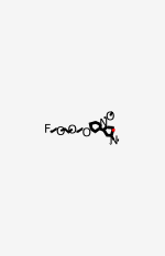 COCn1c2ccc(OCCOCCOCCF)cc2c2cc(N(C)C)ccc21